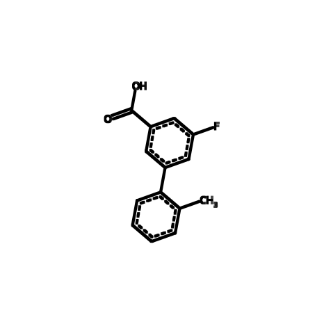 Cc1ccccc1-c1cc(F)cc(C(=O)O)c1